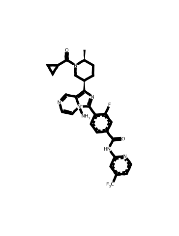 C[C@H]1CC[C@@H](C2=C3C=NC=C[N+]3(N)C(c3ccc(C(=O)Nc4cc(C(F)(F)F)ccn4)cc3F)=N2)CN1C(=O)C1CC1